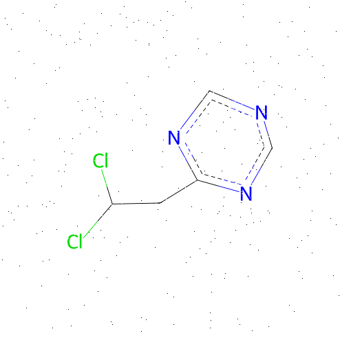 ClC(Cl)Cc1ncncn1